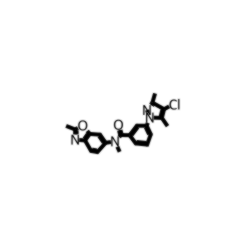 Cc1nc2ccc(N(C)C(=O)c3cccc(-n4nc(C)c(Cl)c4C)c3)cc2o1